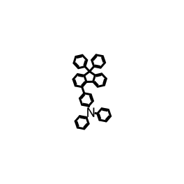 c1ccc(N(c2ccccc2)c2ccc(-c3cccc4c3-c3ccccc3C4(c3ccccc3)c3ccccc3)cc2)cc1